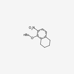 CCCCOc1c([N+](=O)[O-])ccc2c1CCCC2